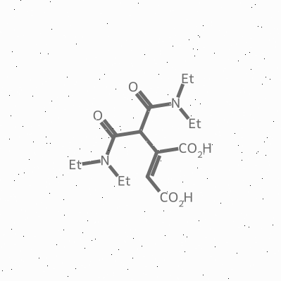 CCN(CC)C(=O)C(C(=O)N(CC)CC)C(=CC(=O)O)C(=O)O